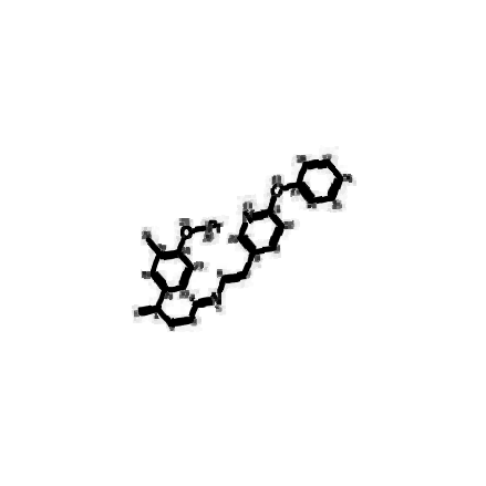 C=C(\C=C/C=N/C=C/c1ccc(Oc2ccccc2)nc1)c1ccc(OC(C)C)c(C)c1